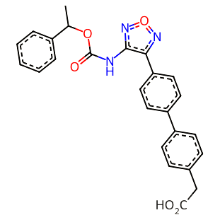 CC(OC(=O)Nc1nonc1-c1ccc(-c2ccc(CC(=O)O)cc2)cc1)c1ccccc1